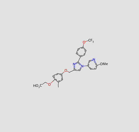 COc1ccc(-n2cc(COc3ccc(OCC(=O)O)c(C)c3)nc2-c2ccc(OC(F)(F)F)cc2)cn1